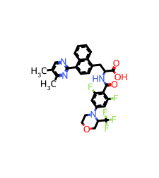 Cc1cnc(-c2ccc(CC(NC(=O)c3c(F)cc(N4CCOCC4C(F)(F)F)cc3F)C(=O)O)c3ccccc23)nc1C